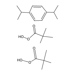 CC(C)(C)C(=O)OO.CC(C)(C)C(=O)OO.CC(C)c1ccc(C(C)C)cc1